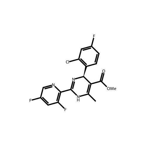 COC(=O)C1=C(C)NC(c2ncc(F)cc2F)=N[C@H]1c1ccc(F)cc1Cl